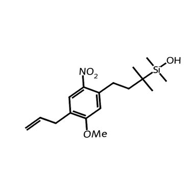 C=CCc1cc([N+](=O)[O-])c(CCC(C)(C)[Si](C)(C)O)cc1OC